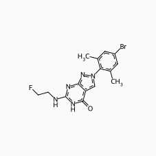 Cc1cc(Br)cc(C)c1-n1cc2c(=O)[nH]c(NCCF)nc2n1